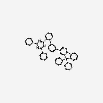 c1ccc(-c2nc(-c3ccccc3)nc(-c3ccccc3-c3cccc(-c4ccc5c(c4)C(c4ccccc4)(c4ccccc4)c4ccccc4-5)c3)n2)cc1